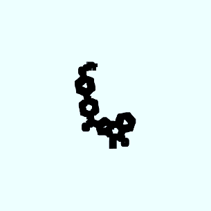 CC(C)Oc1ccc(N2CCN(C(=O)c3cc4[nH]c(=O)c5ccccc5n4c3)CC2)cc1